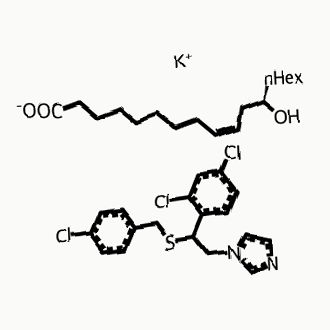 CCCCCC[C@@H](O)C/C=C\CCCCCCCC(=O)[O-].Clc1ccc(CSC(Cn2ccnc2)c2ccc(Cl)cc2Cl)cc1.[K+]